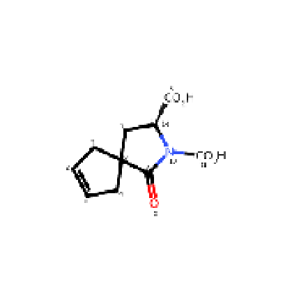 O=C(O)[C@@H]1CC2(CC=CC2)C(=O)N1C(=O)O